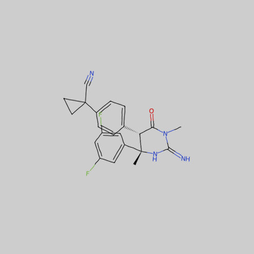 CN1C(=N)N[C@](C)(c2cc(F)cc(F)c2)[C@H](c2ccc(C3(C#N)CC3)cc2)C1=O